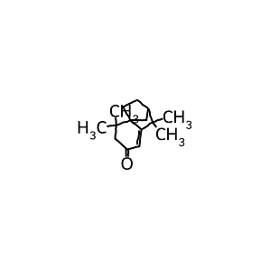 CC1(C)C2=CC(=O)CC(C)(C)C23CCC1C3